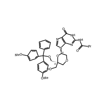 COc1ccc(C(OC[C@@]2(CO)COC[C@H](n3cnc4c(=O)[nH]c(NC(=O)C(C)C)nc43)O2)(c2ccccc2)c2ccc(OC)cc2)cc1